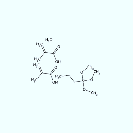 C=C(C)C(=O)O.C=C(C)C(=O)O.CCC[Si](OC)(OC)OC.O